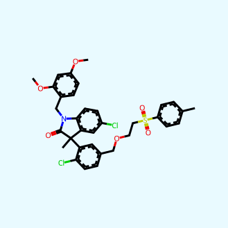 COc1ccc(CN2C(=O)C(C)(c3cc(COCCS(=O)(=O)c4ccc(C)cc4)ccc3Cl)c3cc(Cl)ccc32)c(OC)c1